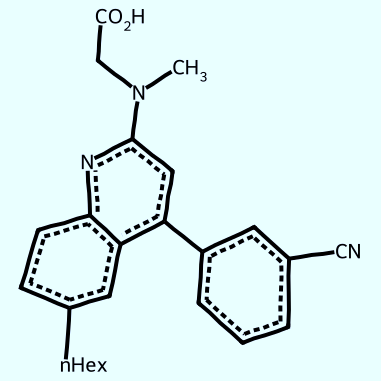 CCCCCCc1ccc2nc(N(C)CC(=O)O)cc(-c3cccc(C#N)c3)c2c1